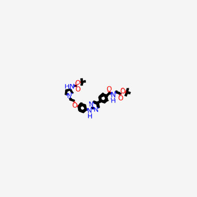 CC(C)(C)OC(=O)CNC(=O)c1ccc(-c2cnc(Nc3ccc(OCCN4CCC(NC(=O)OC(C)(C)C)C4)cc3)nc2)cc1